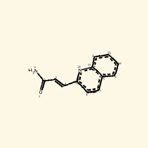 NC(=O)C=Cc1ccc2ccccc2n1